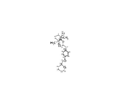 CC1(C)CCCC(C)(C)N1OCCc1ccc(OCC2CCCCO2)cc1